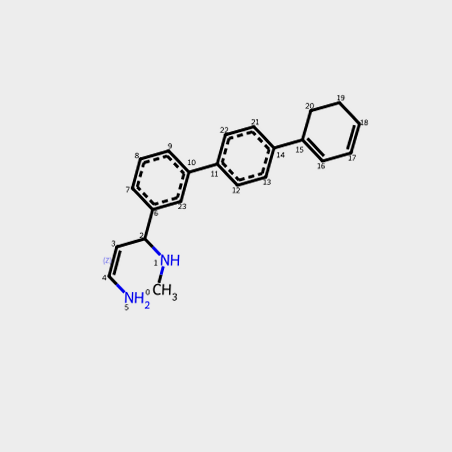 CNC(/C=C\N)c1cccc(-c2ccc(C3=CC=CCC3)cc2)c1